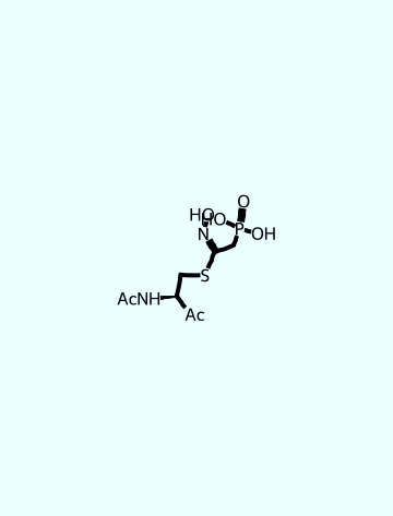 CC(=O)N[C@@H](CSC(CP(=O)(O)O)=NO)C(C)=O